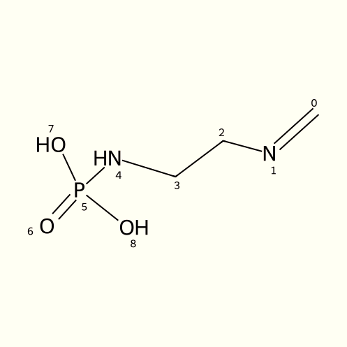 C=NCCNP(=O)(O)O